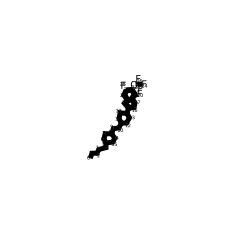 CCCCCC1CCC(CCC2CCC(c3ccc4c(F)c(OC(F)(F)F)c(F)cc4c3)CC2)CC1